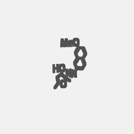 COc1ccc2ccc(N=NC3(C)OC(C)=CC3O)cc2c1